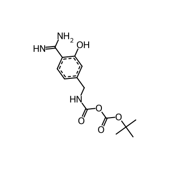 CC(C)(C)OC(=O)OC(=O)NCc1ccc(C(=N)N)c(O)c1